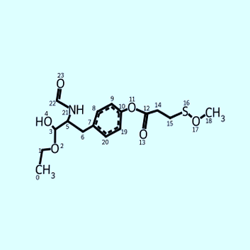 CCOC(O)C(Cc1ccc(OC(=O)CCSOC)cc1)NC=O